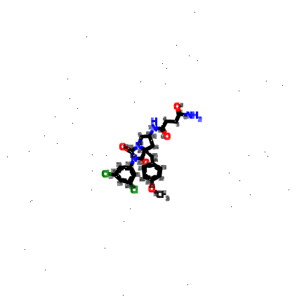 NC(=O)CCC(=O)N[C@@H]1CN2C(=O)N(c3cc(Cl)cc(Cl)c3)C(=O)[C@@]2(Cc2ccc(OC(F)(F)F)cc2)C1